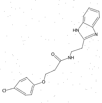 O=C(CCOc1ccc(Cl)cc1)NCCc1nc2ccccc2[nH]1